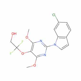 COc1nc(-n2ccc3ccc(Cl)cc32)nc(OC)c1OC(F)(F)CO